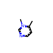 Cc1ccnc[n+]1C